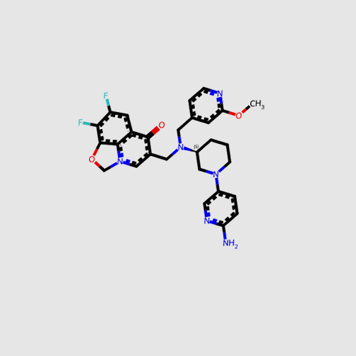 COc1cc(CN(Cc2cn3c4c(c(F)c(F)cc4c2=O)OC3)[C@H]2CCCN(c3ccc(N)nc3)C2)ccn1